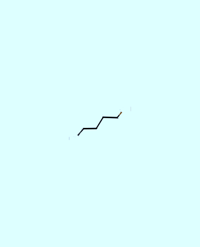 CC(C)[CH]CCCS